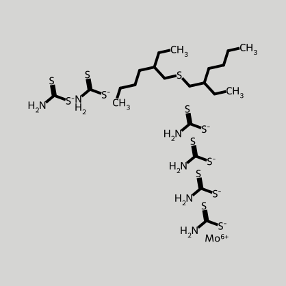 CCCCC(CC)CSCC(CC)CCCC.NC(=S)[S-].NC(=S)[S-].NC(=S)[S-].NC(=S)[S-].NC(=S)[S-].NC(=S)[S-].[Mo+6]